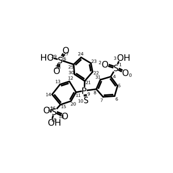 O=S(=O)(O)c1cccc(P(=S)(c2cccc(S(=O)(=O)O)c2)c2cccc(S(=O)(=O)O)c2)c1